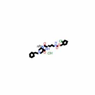 CCCN1C(=O)[C@H](CCCCNC(=O)OCc2ccccc2Cl)NC(=O)C12CCN(CCc1ccccc1)CC2.Cl